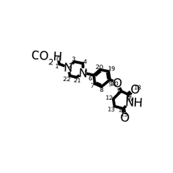 O=C(O)CN1CCN(c2ccc(OC3CCC(=O)NC3=O)cc2)CC1